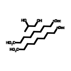 CC(O)CO.CCCCCCCCCCCCCCCCCC(=O)O.CCCCCCCCCCCCCCCCCC(=O)O